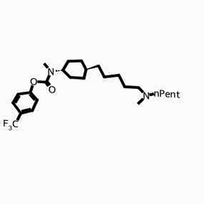 CCCCCN(C)CCCCC[C@H]1CC[C@H](N(C)C(=O)Oc2ccc(C(F)(F)F)cc2)CC1